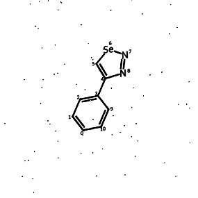 c1ccc(-c2c[se]nn2)cc1